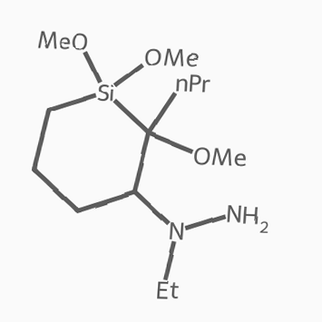 CCCC1(OC)C(N(N)CC)CCC[Si]1(OC)OC